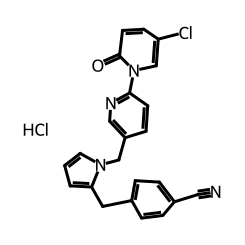 Cl.N#Cc1ccc(Cc2cccn2Cc2ccc(-n3cc(Cl)ccc3=O)nc2)cc1